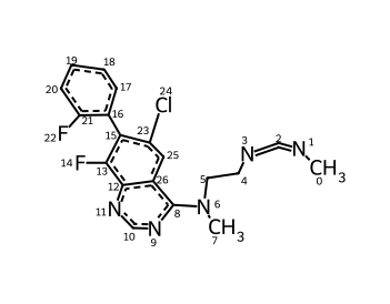 CN=C=NCCN(C)c1ncnc2c(F)c(-c3ccccc3F)c(Cl)cc12